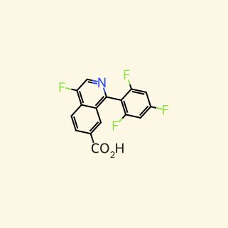 O=C(O)c1ccc2c(F)cnc(-c3c(F)cc(F)cc3F)c2c1